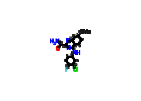 CSc1[c]cc2c(Nc3ccc(F)c(Cl)c3)nc(C(N)=O)nc2c1